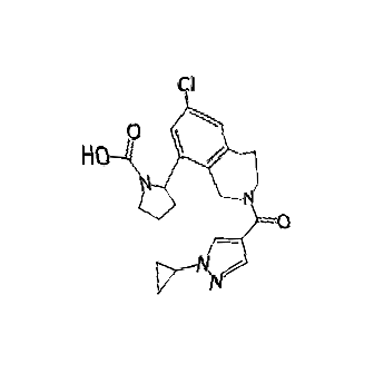 O=C(c1cnn(C2CC2)c1)N1CCc2cc(Cl)cc(C3CCCN3C(=O)O)c2C1